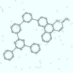 C=C/C=C\c1c(C)c2ccc(-c3cccc(-c4cccc(-c5nc(-c6ccccc6)nc(-c6ccccc6)n5)c4)c3)cc2c2ccccc12